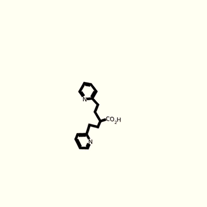 O=C(O)C(CCc1ccccn1)CCc1ccccn1